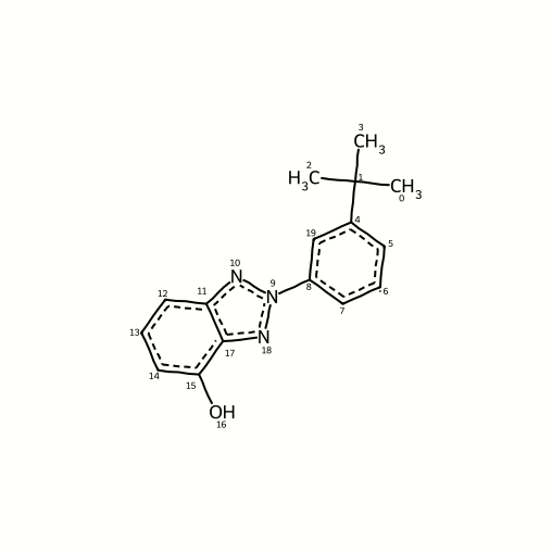 CC(C)(C)c1c[c]cc(-n2nc3cccc(O)c3n2)c1